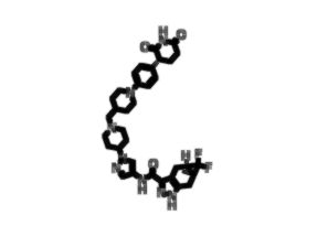 C[C@@]12Cc3[nH]nc(C(=O)Nc4cnn(C5CCN(CC6CCN(c7ccc([C@@H]8CCC(=O)NC8=O)cc7)CC6)CC5)c4)c3C[C@@H]1C2(F)F